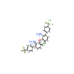 Nc1c(-c2ccc(C(F)(F)F)cc2)ccc(Cl)c1Oc1c(Cl)ccc(-c2ccc(C(F)(F)F)cc2)c1N